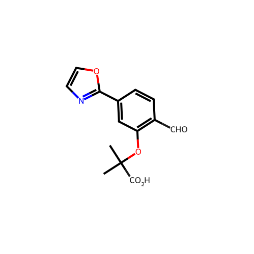 CC(C)(Oc1cc(-c2ncco2)ccc1C=O)C(=O)O